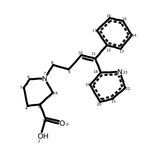 O=C(O)C1CCCN(CCC=C(c2ccccc2)c2ccccn2)C1